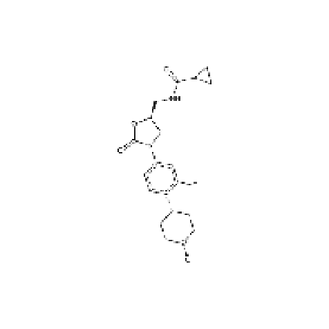 O=C(NC[C@H]1CN(c2ccc([C@H]3CC[S@+]([O-])CC3)c(F)c2)C(=O)O1)C1CC1